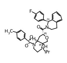 Cc1ccc(S(=O)(=O)N2CCN(C(C)C)[C@H]3CO[C@@H](C(=O)N4CCc5ccccc5[C@@H]4c4ccc(F)cc4)C[C@@H]32)cc1